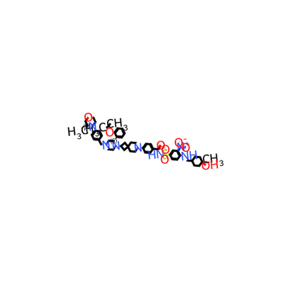 CC(C)Oc1ccccc1[C@H]1CN(Cc2ccc(N3CCOC[C@H]3C)cc2)CCN1C1CC2(CCN(c3ccc(C(=O)NS(=O)(=O)c4ccc(NCC5CCC(C)(O)CC5)c([N+](=O)[O-])c4)cc3)CC2)C1